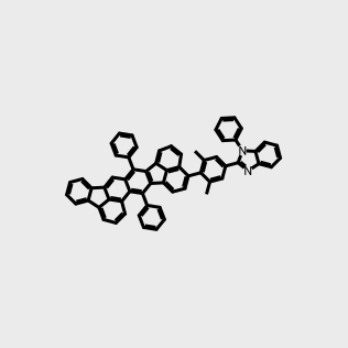 Cc1cc(-c2nc3ccccc3n2-c2ccccc2)cc(C)c1-c1ccc2c3c(-c4ccccc4)c4c(cc5c6ccccc6c6cccc4c65)c(-c4ccccc4)c3c3cccc1c32